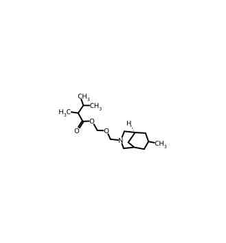 CC1CC2C[C@H](C1)CN(COCOC(=O)C(C)C(C)C)C2